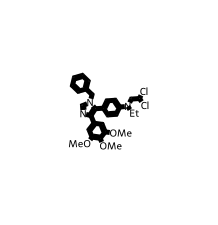 CCN(CC(Cl)Cl)c1ccc(-c2c(-c3cc(OC)c(OC)c(OC)c3)ncn2Cc2ccccc2)cc1